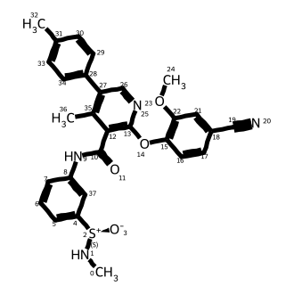 CN[S@+]([O-])c1cccc(NC(=O)c2c(Oc3ccc(C#N)cc3OC)ncc(-c3ccc(C)cc3)c2C)c1